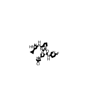 O=C(Nc1ccc(F)nc1)[C@@H]1C[C@H](n2cc(Cl)cn2)CN1c1nc(Nc2cc(C3CC3)[nH]n2)c2cccn2n1